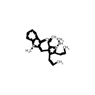 C=Cc1c(/C=c2\c(=C)c3ccccc3n2C)c(/C=C\C)c(/C=C\C)n1BC